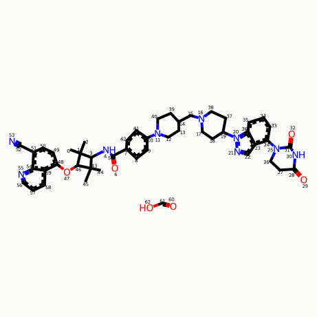 CC1(C)C(NC(=O)c2ccc(N3CCC(CN4CCC(n5ncc6c(N7CCC(=O)NC7=O)cccc65)CC4)CC3)cc2)C(C)(C)C1Oc1ccc(C#N)c2ncccc12.O=CO